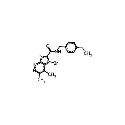 CCc1ccc(CNC(=O)c2sc3nnc(C)c(C)c3c2Br)cc1